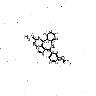 Nc1nc2c3c(ccn3n1)C(c1cccc(OC(F)(F)F)c1)=Nc1ccccc1-2